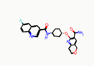 NC(=O)c1cc2c(nc1O[C@H]1CC[C@H](NC(=O)c3cnc4ccc(F)cc4c3)CC1)CCOC2